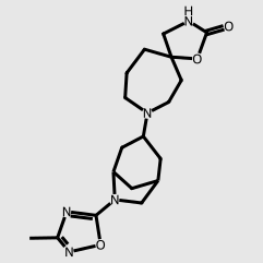 Cc1noc(N2CC3CC(N4CCCC5(CC4)CNC(=O)O5)CC2C3)n1